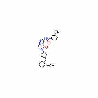 C#Cc1ccccc1Cc1ccc(N2CCn3ncc(C(=O)Nc4cccc(C#N)c4)c3C2=O)cc1